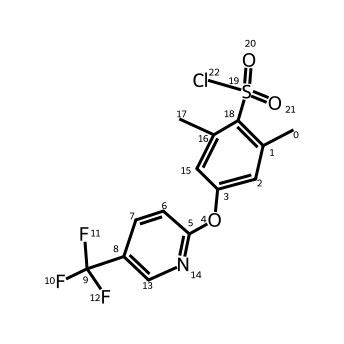 Cc1cc(Oc2ccc(C(F)(F)F)cn2)cc(C)c1S(=O)(=O)Cl